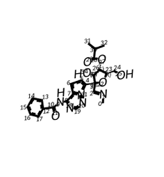 CN=C[C@@]1(c2ccc3c(NC(=O)c4ccccc4)ncnn23)O[C@H](CO)[C@@H](OC(=O)C(C)C)[C@H]1O